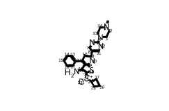 CN1CCN(c2ncc(-c3cc(-c4ccccc4)c4c(N)c([S+]([O-])C5CCC5)sc4n3)cn2)CC1